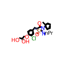 CCC/N=C1\N(c2ccccc2C)C(=O)/C(=C/c2ccc(OC[C@@H](O)CO)c(Cl)c2)[S+]1[O-]